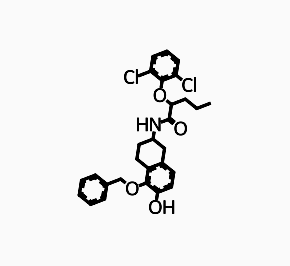 CCCC(Oc1c(Cl)cccc1Cl)C(=O)NC1CCc2c(ccc(O)c2OCc2ccccc2)C1